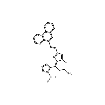 CC1=CC(/C=C/c2cc3ccccc3c3ccccc23)=NC/1=C(/CCN)c1cccn1B(F)F